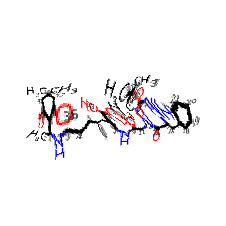 CC(NCCCC[C@H](NC(=O)CNC(=O)[C@H](Cc1ccccc1)NC(=O)OC(C)(C)C)C(=O)O)=C1C(=O)CC(C)(C)CC1=O